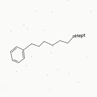 CCCCCCCCC[CH]CCCc1ccccc1